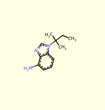 CCC(C)(C)n1cnc2c(N)cccc21